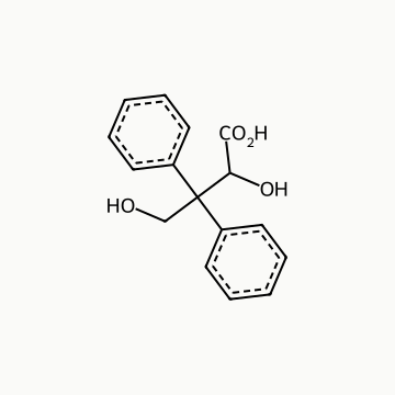 O=C(O)C(O)C(CO)(c1ccccc1)c1ccccc1